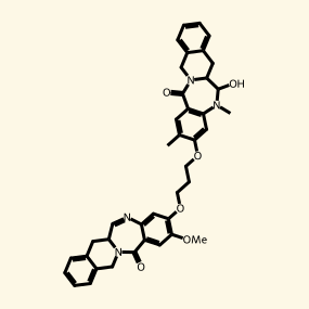 COc1cc2c(cc1OCCCOc1cc3c(cc1C)C(=O)N1Cc4ccccc4CC1C(O)N3C)N=CC1Cc3ccccc3CN1C2=O